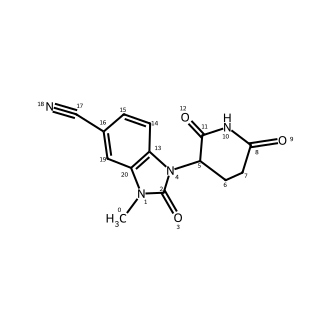 Cn1c(=O)n(C2CCC(=O)NC2=O)c2ccc(C#N)cc21